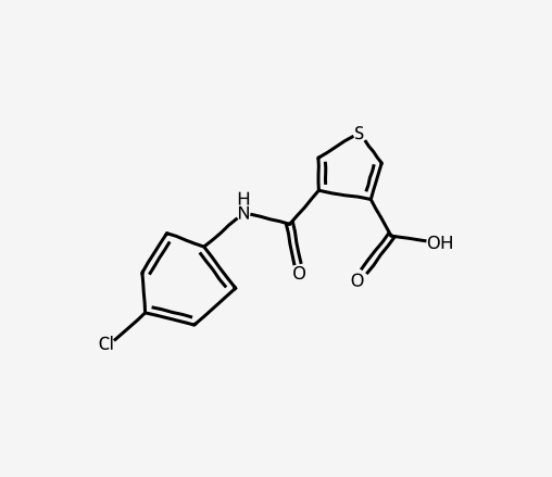 O=C(O)c1cscc1C(=O)Nc1ccc(Cl)cc1